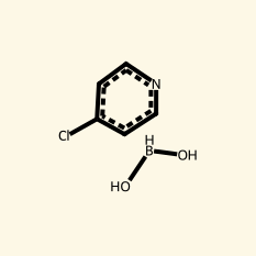 Clc1ccncc1.OBO